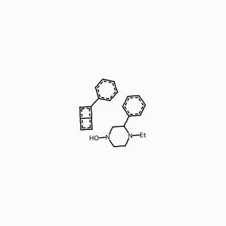 CCN1CCN(O)CC1c1ccccc1.c1ccc(-c2cc3ccc2-3)cc1